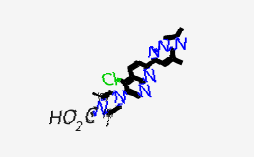 Cc1cn2nc(-c3ccc4c(Cl)c(N5C[C@H](C)N(C(=O)O)[C@@H](C)C5)cnc4n3)cc(C)c2n1